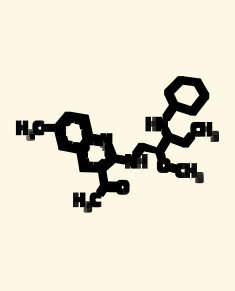 CCC(NC1CCCCC1)[C@H](CNc1nc2ccc(C)cc2cc1C(C)=O)OC